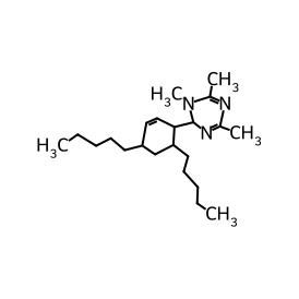 CCCCCC1C=CC(C2N=C(C)N=C(C)N2C)C(CCCCC)C1